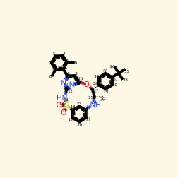 Cc1cccc(C)c1-c1cc2nc(n1)NS(=O)(=O)c1cccc(c1)N[C@@H](C)[C@@H](c1ccc(C(C)(C)C)cc1)O2